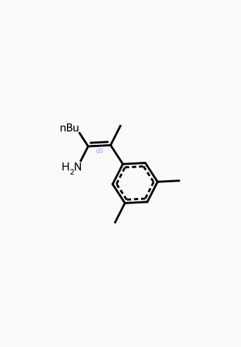 CCCC/C(N)=C(\C)c1cc(C)cc(C)c1